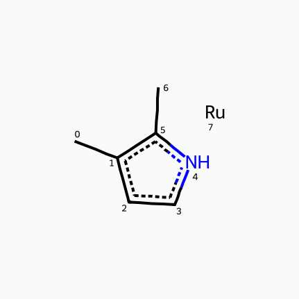 Cc1cc[nH]c1C.[Ru]